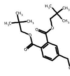 CCc1ccc(C(=O)OCC(C)(C)C)c(C(=O)OCC(C)(C)C)c1